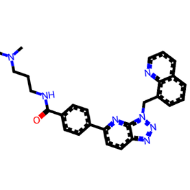 CN(C)CCCNC(=O)c1ccc(-c2ccc3nnn(Cc4cccc5cccnc45)c3n2)cc1